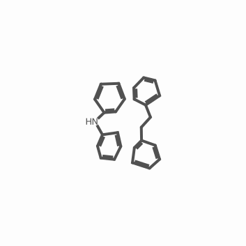 c1ccc(CCc2ccccc2)cc1.c1ccc(Nc2ccccc2)cc1